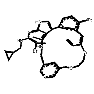 C=C/C1=C\c2cc(ccc2C(C)C)C2=CNC(=N/C(NCC3CC3)=C(\C)CC)/C2=C(\C)NCc2cncc(c2)OCCO1